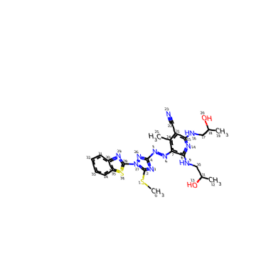 CSc1nc(N=Nc2c(NCC(C)O)nc(NCC(C)O)c(C#N)c2C)nn1-c1nc2ccccc2s1